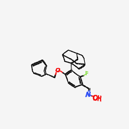 ON=Cc1ccc(OCc2ccccc2)c(C23CC4CC(CC(C4)C2)C3)c1F